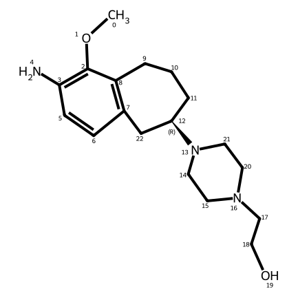 COc1c(N)ccc2c1CCC[C@@H](N1CCN(CCO)CC1)C2